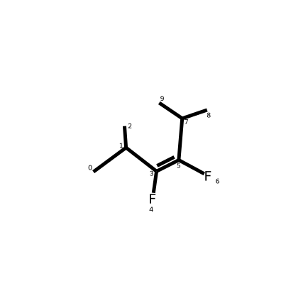 CC(C)/C(F)=C(/F)C(C)C